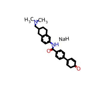 CN(C)CC1CCc2cc(NC(=O)c3ccc(C4=CCC(=O)C=C4)cc3)ccc2C1.[NaH]